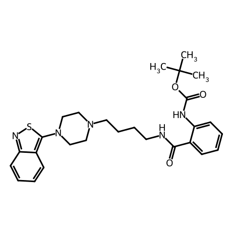 CC(C)(C)OC(=O)Nc1ccccc1C(=O)NCCCCN1CCN(c2snc3ccccc23)CC1